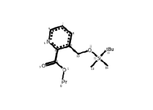 CC(C)OC(=O)c1ncccc1CO[Si](C)(C)C(C)(C)C